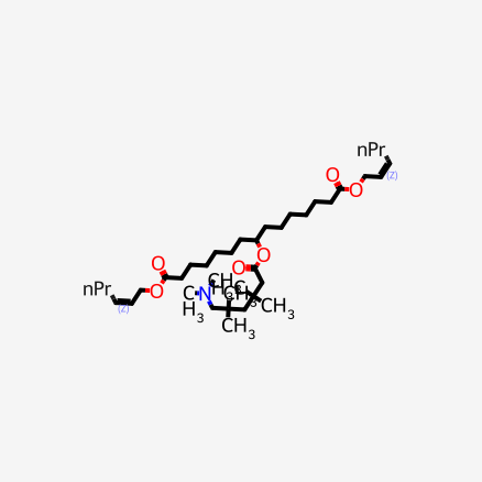 CCC/C=C\COC(=O)CCCCCCC(CCCCCCC(=O)OC/C=C\CCC)OC(=O)CC(C)(C)CC(C)(C)CN(C)C